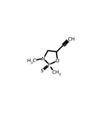 C#CC1CN(C)P(C)(=S)O1